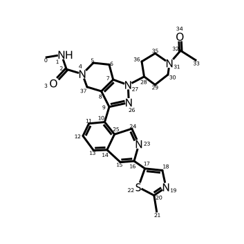 CNC(=O)N1CCc2c(c(-c3cccc4cc(-c5cnc(C)s5)ncc34)nn2C2CCN(C(C)=O)CC2)C1